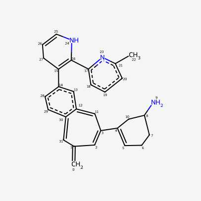 C=C1C=C(C2=CCCC(N)C2)C=c2cc(C3=C(c4cccc(C)n4)NC=CC3)ccc2=C1